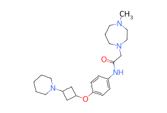 CN1CCCN(CC(=O)Nc2ccc(OC3CC(N4CCCCC4)C3)cc2)CC1